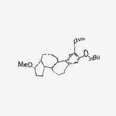 CCCCOc1cc2c(cc1OC)C1CC[C@@]3(C)C(CC[C@@H]3OC)C1CC2